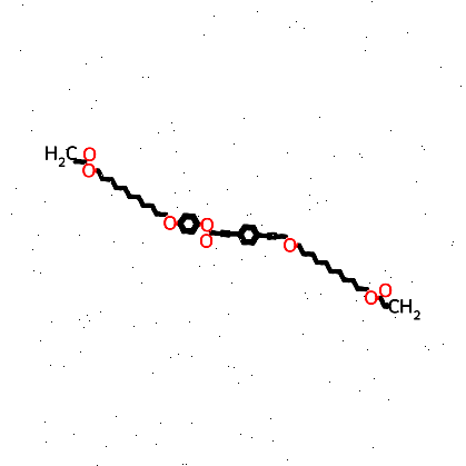 C=CC(=O)OCCCCCCCCCCCOCC#Cc1ccc(C#CC(=O)Oc2ccc(OCCCCCCCCCCCOC(=O)C=C)cc2)cc1